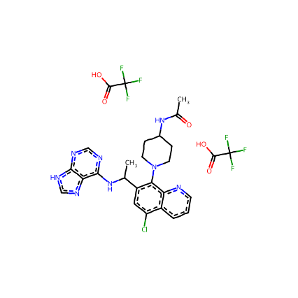 CC(=O)NC1CCN(c2c(C(C)Nc3ncnc4[nH]cnc34)cc(Cl)c3cccnc23)CC1.O=C(O)C(F)(F)F.O=C(O)C(F)(F)F